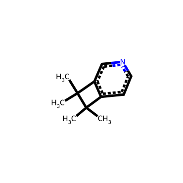 CC1(C)c2ccncc2C1(C)C